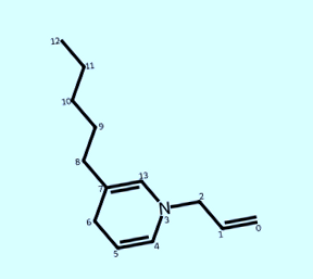 C=CCN1C=CCC(CCCCC)=C1